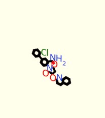 NC(=O)c1cc(-c2ccccc2Cl)ccc1N1CCC(Oc2ccc3ccccc3n2)C1=O